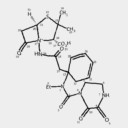 CCN(C(=O)N1CCNC(=O)C1=O)C1(CC(=O)N[N+]23C(=O)C[C@H]2SC(C)(C)[C@@H]3C(=O)O)C=CC=CC1